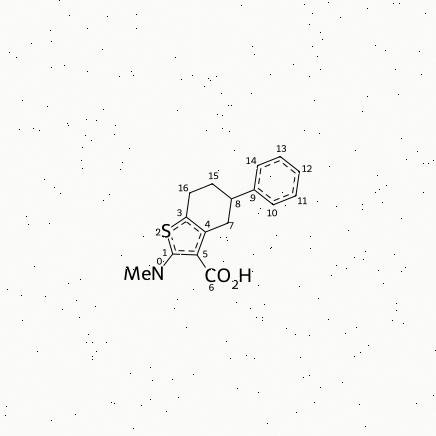 CNc1sc2c(c1C(=O)O)CC(c1ccccc1)CC2